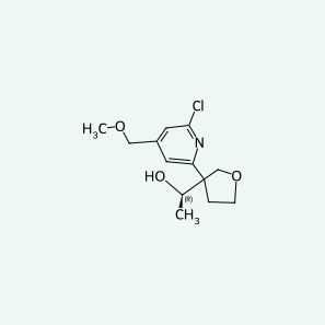 COCc1cc(Cl)nc(C2([C@@H](C)O)CCOC2)c1